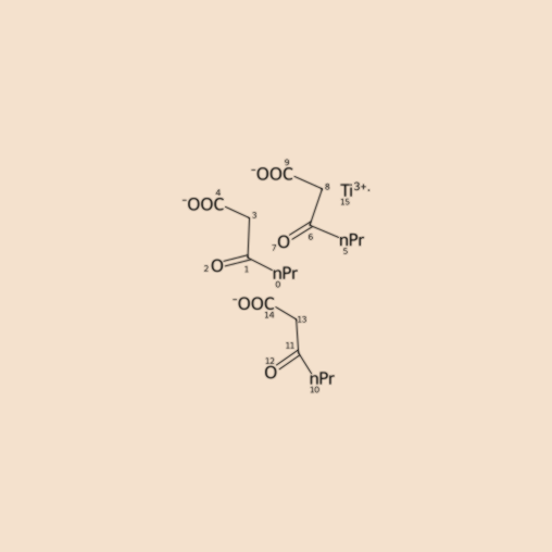 CCCC(=O)CC(=O)[O-].CCCC(=O)CC(=O)[O-].CCCC(=O)CC(=O)[O-].[Ti+3]